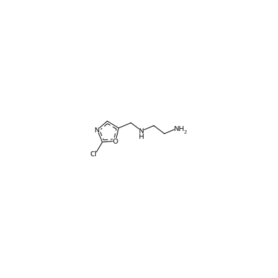 NCCNCc1cnc(Cl)o1